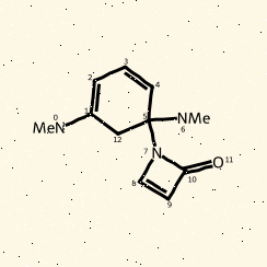 CNC1=CC=CC(NC)(N2C=CC2=O)C1